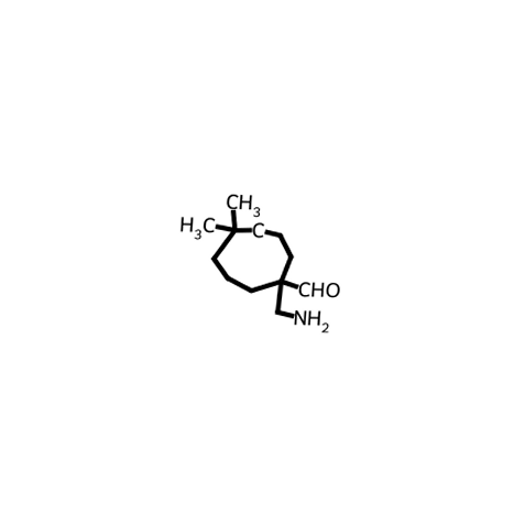 CC1(C)CCCC(C=O)(CN)CCC1